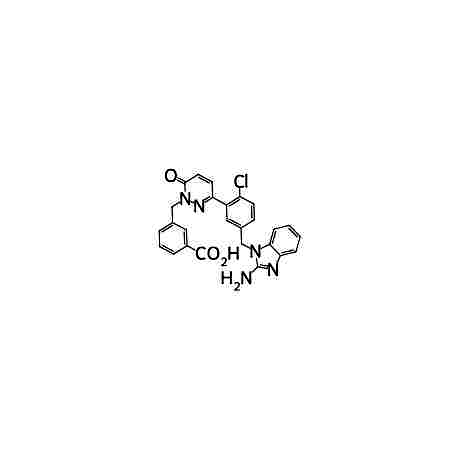 Nc1nc2ccccc2n1Cc1ccc(Cl)c(-c2ccc(=O)n(Cc3cccc(C(=O)O)c3)n2)c1